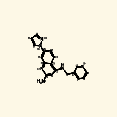 Nc1cc(NCc2cccnc2)c2ccc(-n3cccn3)cc2n1